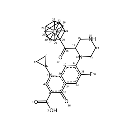 O=C(O)c1cn(C2CC2)c2cc(N3CCNCC3C(=O)[C]34[CH]5[CH]6[CH]7[CH]3[Fe]6754389%10[CH]4[CH]3[CH]8[CH]9[CH]4%10)c(F)cc2c1=O